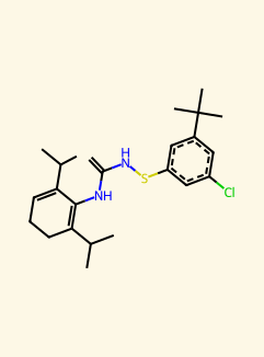 C=C(NSc1cc(Cl)cc(C(C)(C)C)c1)NC1=C(C(C)C)CCC=C1C(C)C